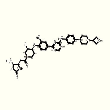 C[C@@H]1OC(=O)N[C@@H]1CC(=O)N1CC[C@H](Oc2ccc(-c3ncnc(Nc4ccc(N5CCN(C6COC6)CC5)cc4)n3)cc2C#N)[C@H](F)C1